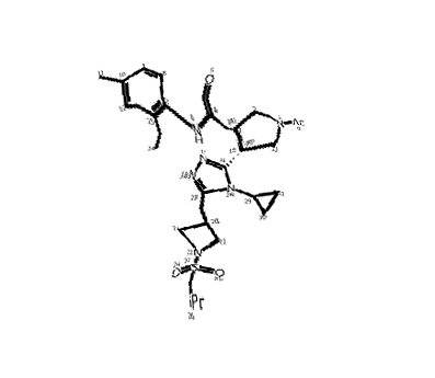 CC(=O)N1C[C@H](C(=O)Nc2ccc(C)cc2C)[C@@H](c2nnc(C3CN(S(=O)(=O)C(C)C)C3)n2C2CC2)C1